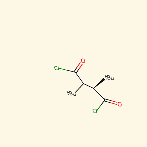 CC(C)(C)C(C(=O)Cl)[C@H](C(=O)Cl)C(C)(C)C